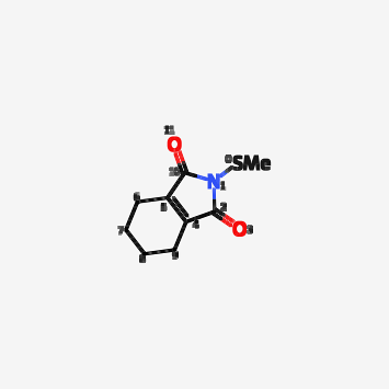 CSN1C(=O)C2=C(CCCC2)C1=O